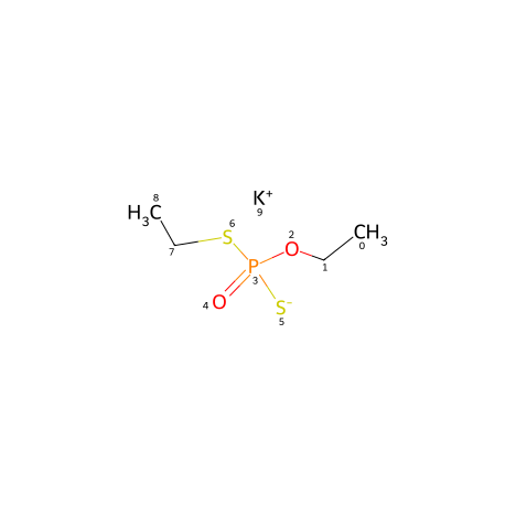 CCOP(=O)([S-])SCC.[K+]